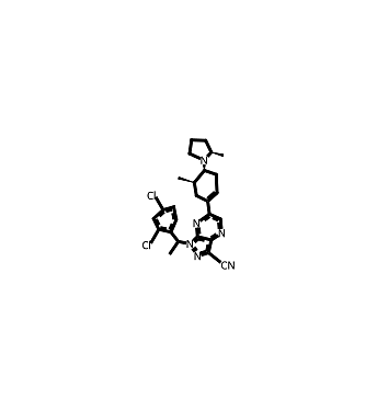 CC(c1ccc(Cl)cc1Cl)n1nc(C#N)c2ncc(C3=CC[C@H](N4CCC[C@H]4C)[C@H](C)C3)nc21